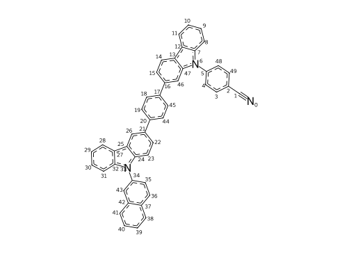 N#Cc1ccc(-n2c3ccccc3c3ccc(-c4ccc(-c5ccc6c(c5)c5ccccc5n6-c5ccc6ccccc6c5)cc4)cc32)cc1